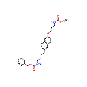 CC(C)(C)OC(=O)NCCCOc1ccc2cc(CCCCNC(=O)OCc3ccccc3)ccc2c1